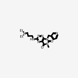 CCN(CC)CCCNc1nnc2c(n1)c(=O)n(C)c(=O)n2Cc1cccnc1